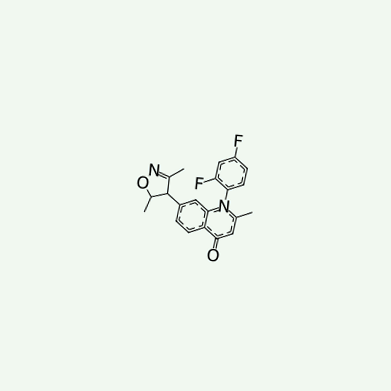 CC1=NOC(C)C1c1ccc2c(=O)cc(C)n(-c3ccc(F)cc3F)c2c1